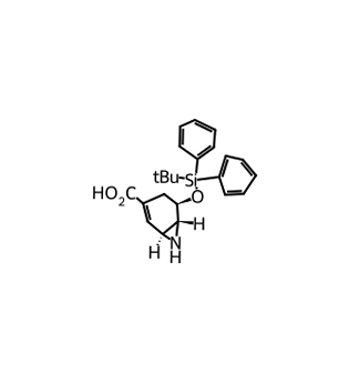 CC(C)(C)[Si](O[C@@H]1CC(C(=O)O)=C[C@@H]2N[C@H]21)(c1ccccc1)c1ccccc1